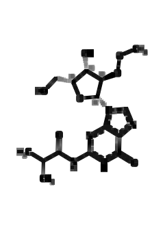 COO[C@@H]1[C@@H](O)[C@@H](CO)O[C@H]1n1cnc2c(=O)[nH]c(NC(=O)C(C)C)nc21